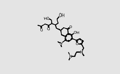 CC(=O)CC(=O)C(CO)C(CCO)CC1CC(=O)c2c(O)c(-c3ccc(CN(C)CCN(C)C)o3)cc(N(C)C)c2C1